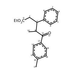 CCOC(=O)CC(c1ccccc1)C(C)C(=O)c1ccc(C)cc1